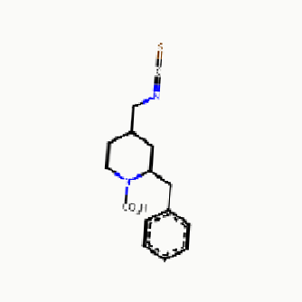 O=C(O)N1CCC(CN=C=S)CC1Cc1ccccc1